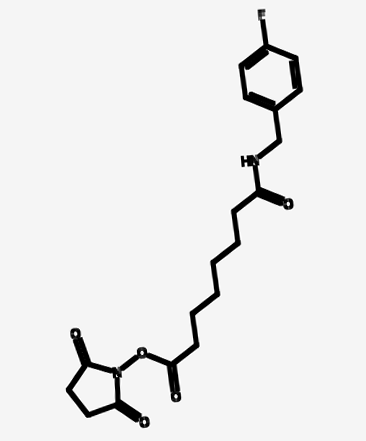 O=C(CCCCCCC(=O)ON1C(=O)CCC1=O)NCc1ccc(F)cc1